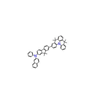 CC1(C)c2cc(-c3ccc4c(c3)C(C)(C)c3cccc5c3N4c3ccccc3C5(C)C)ccc2-c2ccc(N(c3ccccc3)c3ccc4ccccc4c3)cc21